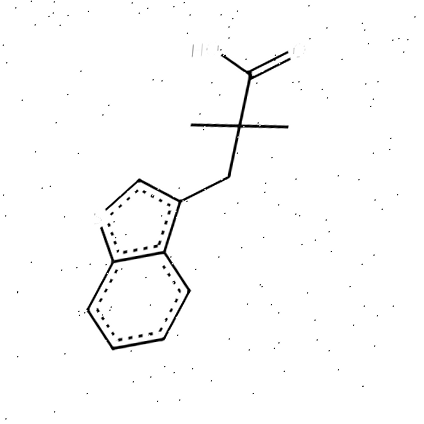 CC(C)(Cc1csc2ccccc12)C(=O)O